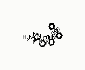 Nc1ncnc(N2CCCC(N3CCCC(Nc4ccccc4S(=O)(=O)c4ccccc4)C3=O)C2=O)c1F